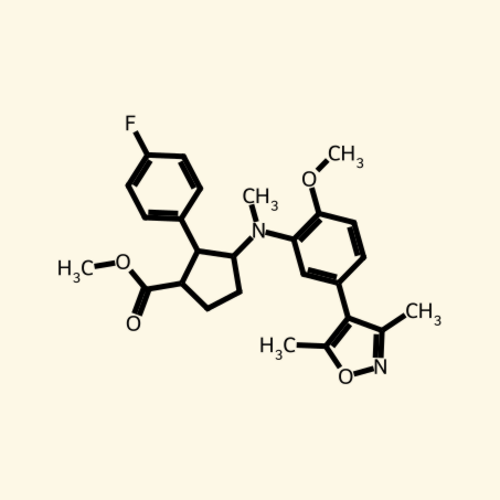 COC(=O)C1CCC(N(C)c2cc(-c3c(C)noc3C)ccc2OC)C1c1ccc(F)cc1